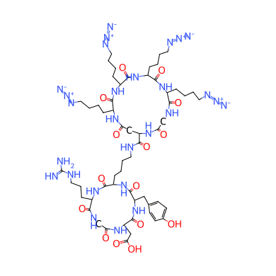 [N-]=[N+]=NCCCCC1NC(=O)CC(C(=O)NCCCCC2NC(=O)C(Cc3ccc(O)cc3)NC(=O)C(CC(=O)O)NC(=O)CNC(=O)C(CCCNC(=N)N)NC2=O)NC(=O)CNC(=O)C(CCCCN=[N+]=[N-])NC(=O)C(CCCCN=[N+]=[N-])NC(=O)C(CCCCN=[N+]=[N-])NC1=O